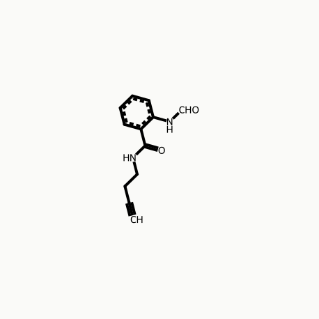 C#CCCNC(=O)c1ccccc1NC=O